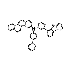 C1=CCC2C(=C1)Sc1c(-c3cccc(N(c4ccc(-c5ccccc5)cc4)c4ccc5ccc6c7ccccc7ccc6c5c4)c3)cccc12